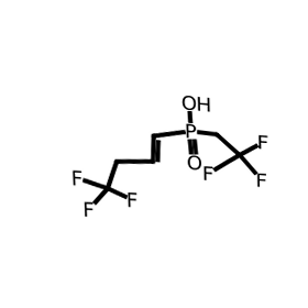 O=P(O)(C=CCC(F)(F)F)CC(F)(F)F